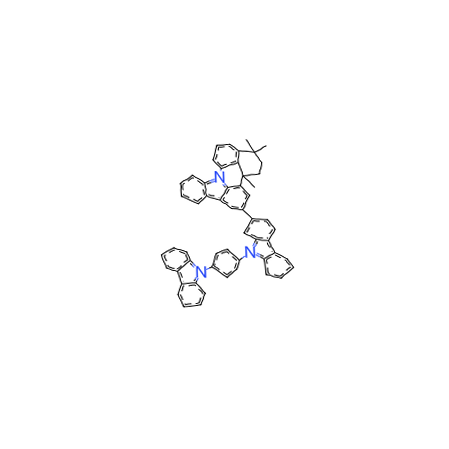 CC1(C)CCC2(C)c3c(cccc31)-n1c3ccccc3c3cc(-c4ccc5c6ccccc6n(-c6ccc(-n7c8ccccc8c8ccccc87)cc6)c5c4)cc2c31